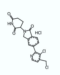 Cl.O=C1CCC(N2Cc3cc(-c4nccc(CCl)c4Cl)ccc3C2=O)C(=O)N1